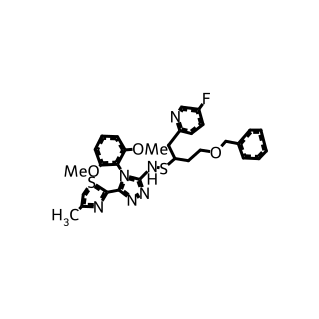 COc1cccc(OC)c1-n1c(NSC(CCOCc2ccccc2)Cc2ccc(F)cn2)nnc1-c1nc(C)cs1